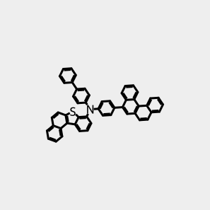 c1ccc(-c2ccc(N(c3ccc(-c4cc5ccc6ccccc6c5c5ccccc45)cc3)c3cccc4c3sc3ccc5ccccc5c34)cc2)cc1